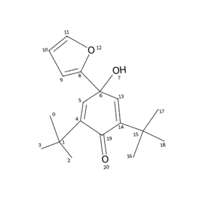 CC(C)(C)C1=CC(O)(c2ccco2)C=C(C(C)(C)C)C1=O